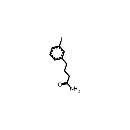 NC(=O)CCCc1cccc(I)c1